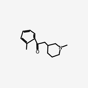 Cc1ccccc1C(=O)CC1CCCN(C)C1